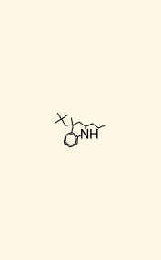 CCCC1CC(C)(CC(C)(C)C)c2ccccc2N1